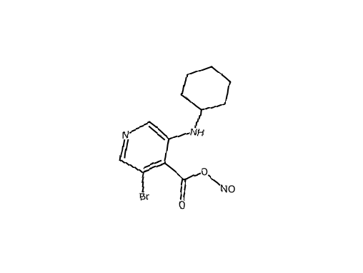 O=NOC(=O)c1c(Br)cncc1NC1CCCCC1